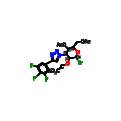 CCOC(=O)CO[C@@H]1[C@@H](n2cc(-c3cc(F)c(F)c(F)c3)nn2)[C@@H](OC(C)=O)[C@@H](COC(C)=O)O[C@@H]1Br